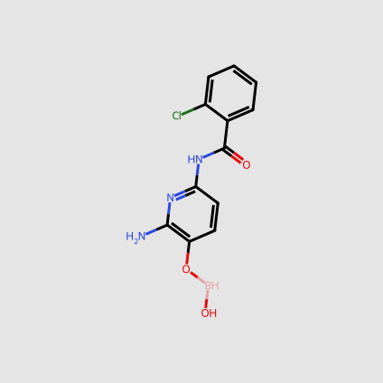 Nc1nc(NC(=O)c2ccccc2Cl)ccc1OBO